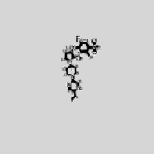 CCc1cnc(N2CCC(N3CC[C@H](Nc4cc(C)c(S(C)(=O)=O)cc4F)C3=O)CC2)cn1